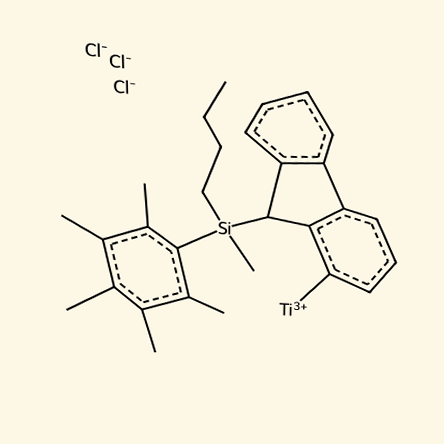 CCCC[Si](C)(c1c(C)c(C)c(C)c(C)c1C)C1c2ccccc2-c2ccc[c]([Ti+3])c21.[Cl-].[Cl-].[Cl-]